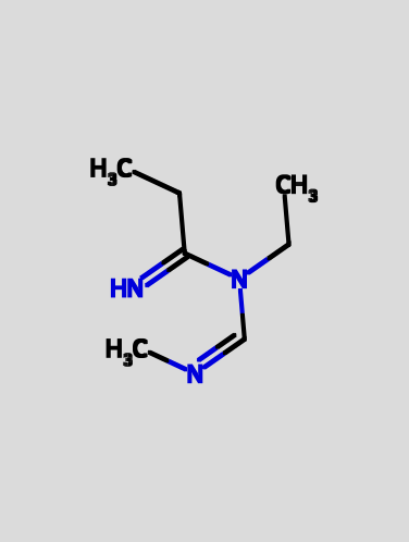 CCC(=N)N(/C=N\C)CC